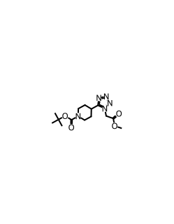 COC(=O)Cn1nnnc1C1CCN(C(=O)OC(C)(C)C)CC1